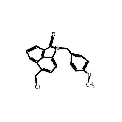 COc1ccc(CN2C(=O)c3cccc4c(CCl)ccc2c34)cc1